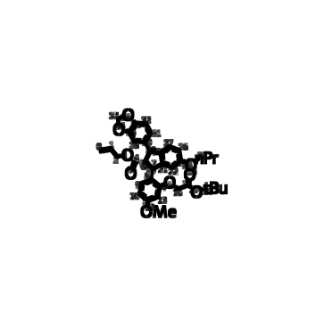 C=CCOC(=O)[C@H]1[C@H](c2ccc(OC)cc2OCC(=O)OC(C)(C)C)c2cc(OCCC)ccc2[C@@H]1c1ccc2c(c1)OCO2